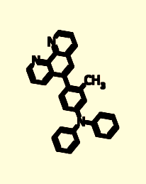 Cc1cc(N(c2ccccc2)c2ccccc2)ccc1-c1cc2cccnc2c2ncccc12